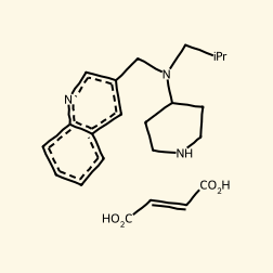 CC(C)CN(Cc1cnc2ccccc2c1)C1CCNCC1.O=C(O)C=CC(=O)O